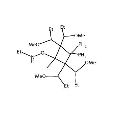 CCNOC(C)(C(CP)(C(CC)OC)C(CC)OC)C(CP)(C(CC)OC)C(CC)OC